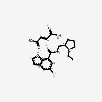 CCN1CCCC1CNC(=O)c1cc(Cl)cc2ccoc12.O=C(O)/C=C/C(=O)O